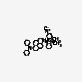 [C-]#[N+]c1cccc(N(c2ccccc2[Si](C)(C)C)c2ccc3ccc4c(N(c5ccccc5)c5ccccc5)ccc5ccc2c3c54)c1